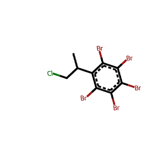 CC(CCl)c1c(Br)c(Br)c(Br)c(Br)c1Br